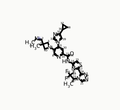 C/N=C\C1(C)CN(c2cnc(C(=O)Nc3csc(-c4nncn4[C@@H](C)C(F)(F)F)n3)cc2-n2cnc(C3CC3)c2)C1